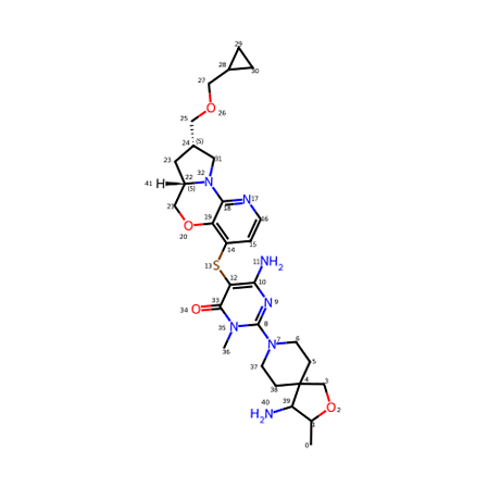 CC1OCC2(CCN(c3nc(N)c(Sc4ccnc5c4OC[C@@H]4C[C@H](COCC6CC6)CN54)c(=O)n3C)CC2)C1N